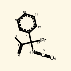 C=C(C)C(N=C=O)(c1ccccc1)C(C)C